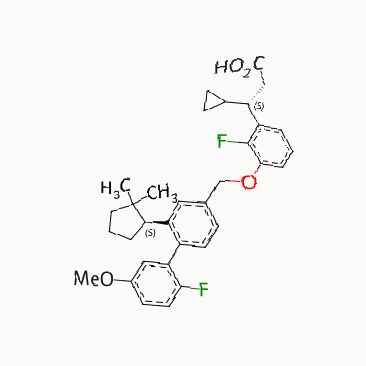 COc1ccc(F)c(-c2ccc(COc3cccc([C@@H](CC(=O)O)C4CC4)c3F)cc2[C@H]2CCCC2(C)C)c1